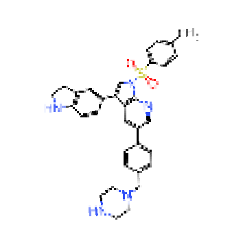 Cc1ccc(S(=O)(=O)n2cc(-c3ccc4c(c3)CCN4)c3cc(-c4ccc(CN5CCNCC5)cc4)cnc32)cc1